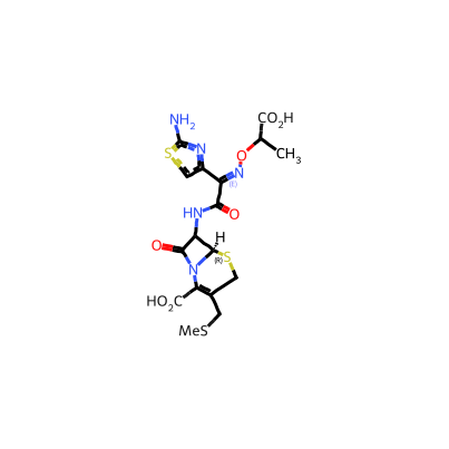 CSCC1=C(C(=O)O)N2C(=O)C(NC(=O)/C(=N/OC(C)C(=O)O)c3csc(N)n3)[C@H]2SC1